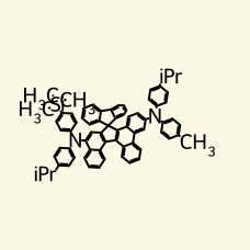 Cc1ccc(N(c2ccc(C(C)C)cc2)c2ccc3c4c(c5ccccc5c3c2)-c2c(cc(N(c3ccc(C(C)C)cc3)c3ccc([Si](C)(C)C)cc3)c3ccccc23)C42c3ccccc3-c3ccccc32)cc1